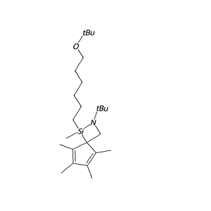 CC1=C(C)C2(CN(C(C)(C)C)[Si]2(C)CCCCCCOC(C)(C)C)C(C)=C1C